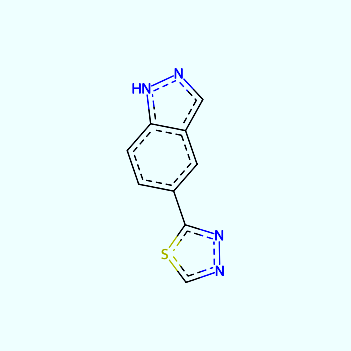 c1nnc(-c2ccc3[nH]ncc3c2)s1